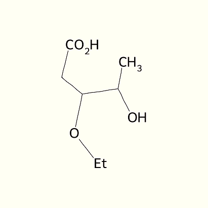 CCOC(CC(=O)O)C(C)O